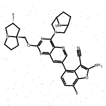 N#Cc1c(N)oc2c(F)ccc(-c3cnc4c(N5CC6CCC(C5)N6)nc(OC[C@@]56CCCN5C[C@H](F)C6)nc4c3)c12